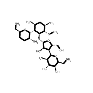 CO[C@@H]1[C@@H](O[C@@H]2O[C@H](CO)[C@@H](C3O[C@@H](CN)[C@@H](O)[C@H](O)[C@H]3N)[C@H]2O)[C@H](C2O[C@H](CN)CC[C@H]2N)[C@@H](N)C[C@H]1N